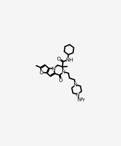 CCCN1CCN(CCCN2C(=O)c3cc4oc(C)cc4n3CC2(C)C(=O)NC2CCCCC2)CC1